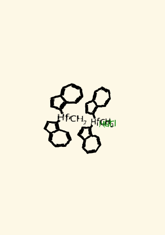 Cl.Cl.[CH2]=[Hf]([c]1ccc2cccccc1-2)[c]1ccc2cccccc1-2.[CH2]=[Hf]([c]1ccc2cccccc1-2)[c]1ccc2cccccc1-2